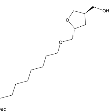 CCCCCCCCCCCCCCCCCCOC[C@H]1C[C@H](CO)CO1